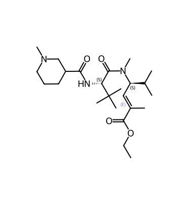 CCOC(=O)/C(C)=C/[C@H](C(C)C)N(C)C(=O)[C@@H](NC(=O)C1CCCN(C)C1)C(C)(C)C